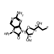 CCCn1c(=O)n([C@@H]2O[C@H]([C@@H](O)CF)C[C@H]2O)c2nc(N)ncc21